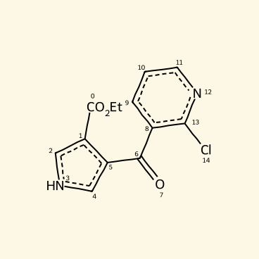 CCOC(=O)c1c[nH]cc1C(=O)c1cccnc1Cl